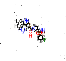 Cc1nnc2sc(C(O)N3CCC(NS(=O)(=O)c4cccc(F)c4)C3)c(N)c2c1C